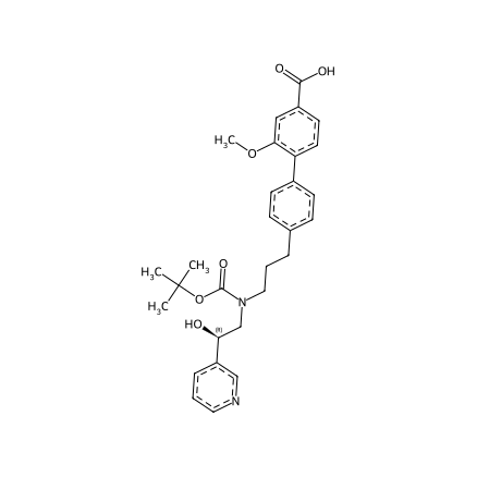 COc1cc(C(=O)O)ccc1-c1ccc(CCCN(C[C@H](O)c2cccnc2)C(=O)OC(C)(C)C)cc1